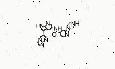 O=C(Nc1cnc2[nH]cc(-c3cnc4nccn4c3)c2c1)c1ccnc(N2CCNCC2)c1